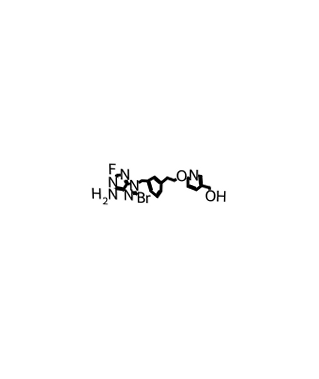 Nc1nc(F)nc2c1nc(Br)n2Cc1cccc(CCOc2ccc(CO)cn2)c1